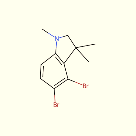 CN1CC(C)(C)c2c1ccc(Br)c2Br